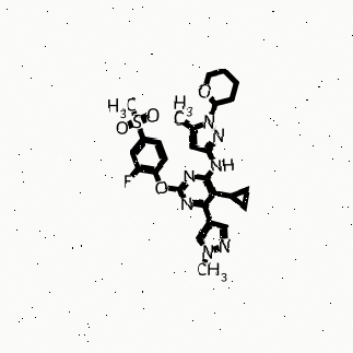 Cc1cc(Nc2nc(Oc3ccc(S(C)(=O)=O)cc3F)nc(-c3cnn(C)c3)c2C2CC2)nn1C1CCCCO1